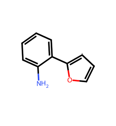 Nc1ccccc1-c1[c]cco1